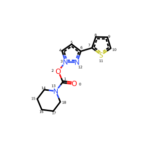 O=C(On1ccc(-c2cccs2)n1)N1CCCCC1